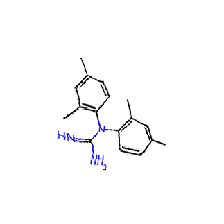 Cc1ccc(N(C(=N)N)c2ccc(C)cc2C)c(C)c1